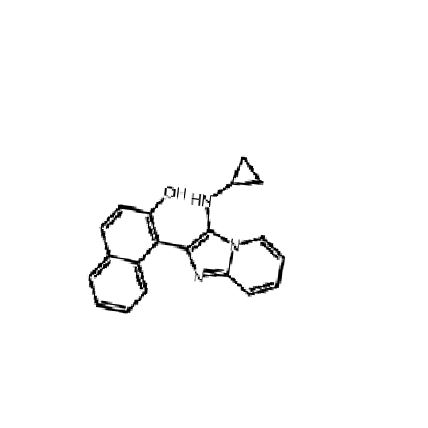 Oc1ccc2ccccc2c1-c1nc2ccccn2c1NC1CC1